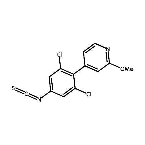 COc1cc(-c2c(Cl)cc(N=C=S)cc2Cl)ccn1